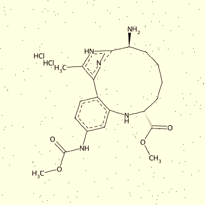 COC(=O)Nc1ccc2c(c1)N[C@@H](C(=O)OC)CCCC[C@H](N)c1nc-2c(C)[nH]1.Cl.Cl